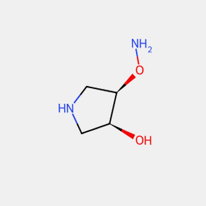 NO[C@@H]1CNC[C@@H]1O